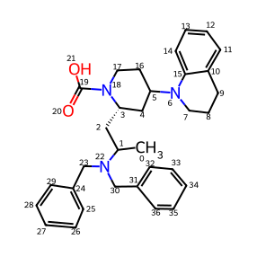 CC(C[C@H]1CC(N2CCCc3ccccc32)CCN1C(=O)O)N(Cc1ccccc1)Cc1ccccc1